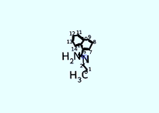 CCC/N=C(\N)c1cccc2ccccc12